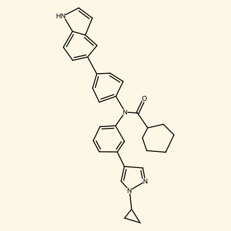 O=C(C1CCCCC1)N(c1ccc(-c2ccc3[nH]ccc3c2)cc1)c1cccc(-c2cnn(C3CC3)c2)c1